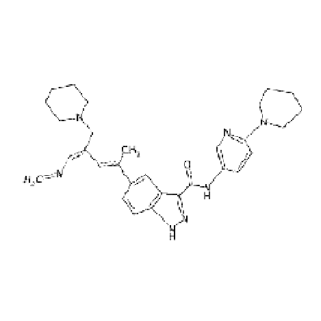 C=N/C=C(\C=C(/C)c1ccc2[nH]nc(C(=O)Nc3ccc(N4CCCCC4)nc3)c2c1)CN1CCCCC1